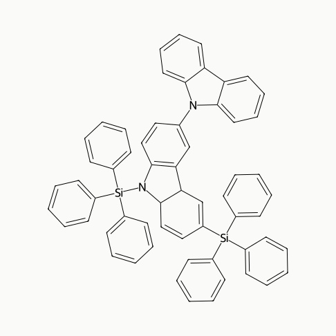 C1=CC2C(C=C1[Si](c1ccccc1)(c1ccccc1)c1ccccc1)c1cc(-n3c4ccccc4c4ccccc43)ccc1N2[Si](c1ccccc1)(c1ccccc1)c1ccccc1